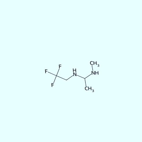 CNC(C)NCC(F)(F)F